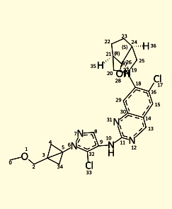 COCC12CC1(n1ncc(Nc3ncc4cc(Cl)c(N5C[C@H]6CC[C@@H](C5)[C@@]6(C)O)cc4n3)c1Cl)C2